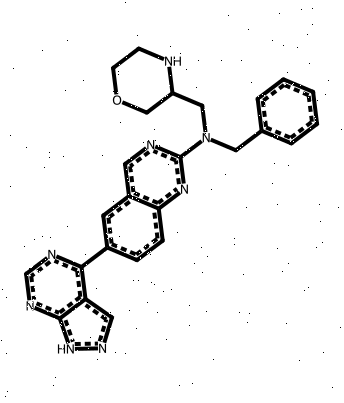 c1ccc(CN(CC2COCCN2)c2ncc3cc(-c4ncnc5[nH]ncc45)ccc3n2)cc1